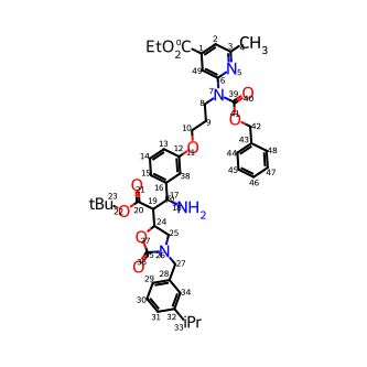 CCOC(=O)c1cc(C)nc(N(CCCOc2cccc([C@@H](N)C(C(=O)OC(C)(C)C)C3CN(Cc4cccc(C(C)C)c4)C(=O)O3)c2)C(=O)OCc2ccccc2)c1